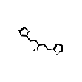 OC(CCc1ccco1)CCc1ccco1